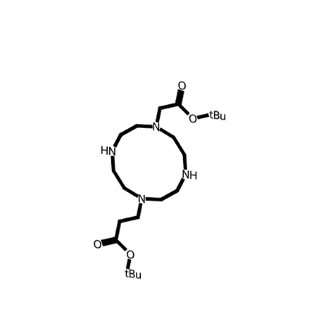 CC(C)(C)OC(=O)CCN1CCNCCN(CC(=O)OC(C)(C)C)CCNCC1